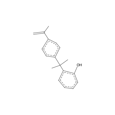 C=C(C)c1ccc(C(C)(C)c2ccccc2O)cc1